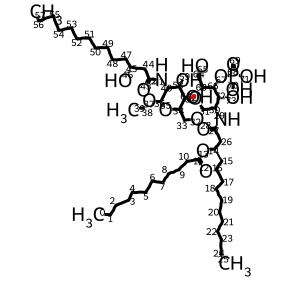 CCCCCCCCCCCC(=O)O[C@H](CCCCCCCCCCC)CC(=O)N[C@@H]1C(OCC2OC(OCC)[C@@H](NC(=O)C[C@H](O)CCCCCCCCCCC)[C@@H](O)[C@@H]2O)OC(CO)[C@@H](OP(=O)(O)O)[C@@H]1O